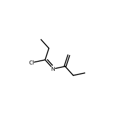 C=C(CC)/N=C(/Cl)CC